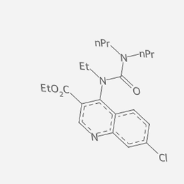 CCCN(CCC)C(=O)N(CC)c1c(C(=O)OCC)cnc2cc(Cl)ccc12